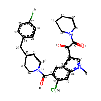 Cn1cc(C(=O)C(=O)N2CCCCC2)c2cc(C(=O)N3CCC(Cc4ccc(F)cc4)CC3)c(Cl)cc21